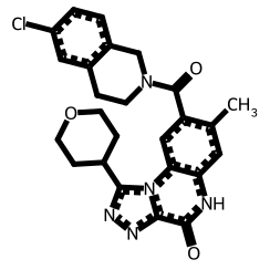 Cc1cc2[nH]c(=O)c3nnc(C4CCOCC4)n3c2cc1C(=O)N1CCc2cc(Cl)ccc2C1